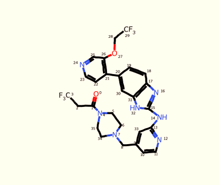 O=C(CC(F)(F)F)N1CCN(Cc2ccnc(Nc3nc4ccc(-c5ccncc5OCC(F)(F)F)cc4[nH]3)c2)CC1